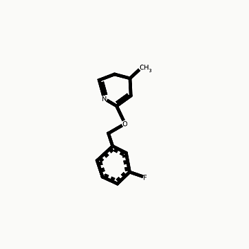 CC1C=C(OCc2cccc(F)c2)N=CC1